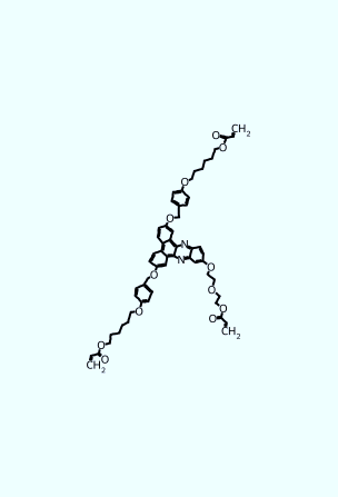 C=CC(=O)OCCCCCCOc1ccc(COc2ccc3c4ccc(OCc5ccc(OCCCCCCOC(=O)C=C)cc5)cc4c4nc5cc(OCCOCCOC(=O)C=C)ccc5nc4c3c2)cc1